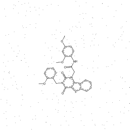 COc1ccc(NC(=O)Cn2c(=O)n(Cc3ccccc3OC)c(=O)c3sc4ccccc4c32)c(OC)c1